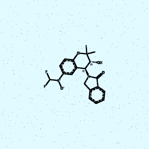 CC1(C)Oc2ccc([S+]([O-])C(F)F)cc2[C@H](N2Cc3ccccc3C2=O)[C@H]1O